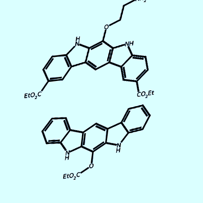 CCOC(=O)Oc1c2[nH]c3ccccc3c2cc2c1[nH]c1ccccc12.CCOC(=O)c1ccc2[nH]c3c(OCCN)c4[nH]c5ccc(C(=O)OCC)cc5c4cc3c2c1